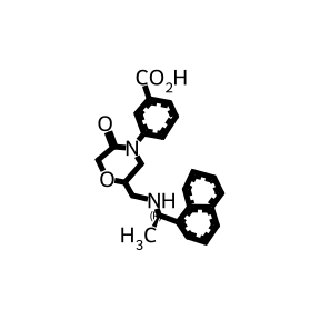 C[C@@H](NCC1CN(c2cccc(C(=O)O)c2)C(=O)CO1)c1cccc2ccccc12